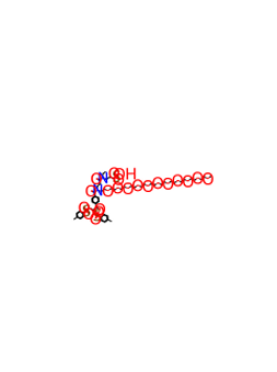 CCN(CCCS(=O)(=O)O)C(=O)CCN(CCOCCOCCOCCOCCOCCOCCOCCOCCOCCOCCOC)C(=O)c1ccc(C(=O)C(CS(=O)(=O)c2ccc(C)cc2)CS(=O)(=O)c2ccc(C)cc2)cc1